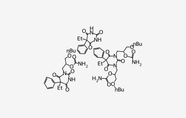 CCC1(c2ccccc2)C(=O)NC(=O)NC1=O.CCCCOCC(CN1C(=O)N(CC(COCCCC)OC(N)=O)C(=O)C(CC)(c2ccccc2)C1=O)OC(N)=O.CCCCOCC(CN1C(=O)NC(=O)C(CC)(c2ccccc2)C1=O)OC(N)=O